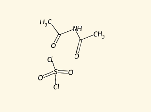 CC(=O)NC(C)=O.O=S(=O)(Cl)Cl